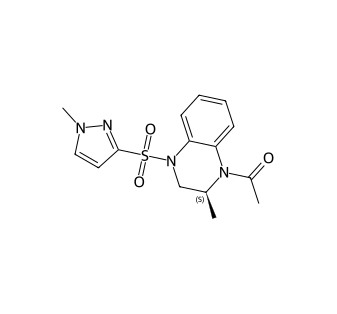 CC(=O)N1c2ccccc2N(S(=O)(=O)c2ccn(C)n2)C[C@@H]1C